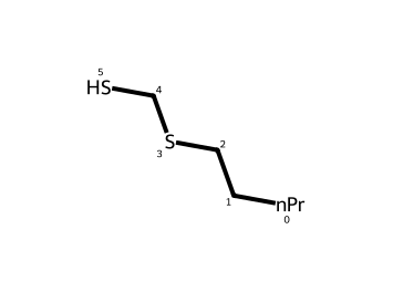 CCCCCSCS